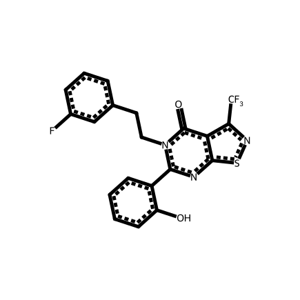 O=c1c2c(C(F)(F)F)nsc2nc(-c2ccccc2O)n1CCc1cccc(F)c1